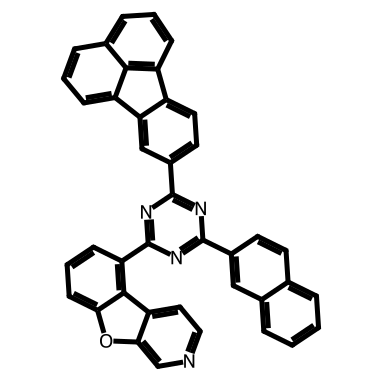 c1ccc2cc(-c3nc(-c4ccc5c(c4)-c4cccc6cccc-5c46)nc(-c4cccc5oc6cnccc6c45)n3)ccc2c1